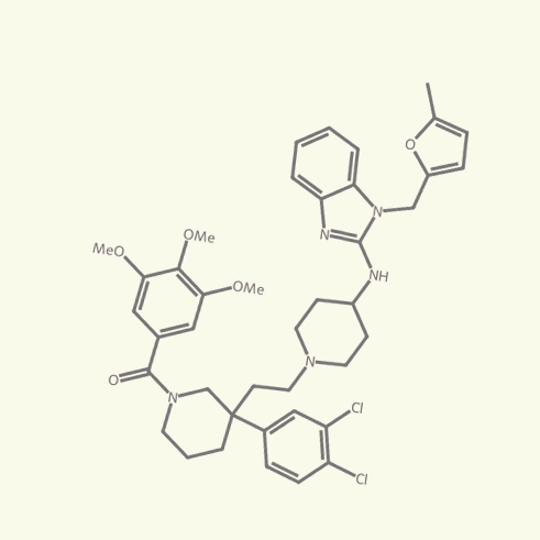 COc1cc(C(=O)N2CCCC(CCN3CCC(Nc4nc5ccccc5n4Cc4ccc(C)o4)CC3)(c3ccc(Cl)c(Cl)c3)C2)cc(OC)c1OC